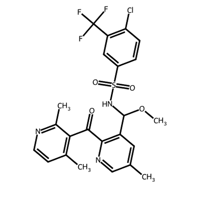 COC(NS(=O)(=O)c1ccc(Cl)c(C(F)(F)F)c1)c1cc(C)cnc1C(=O)c1c(C)ccnc1C